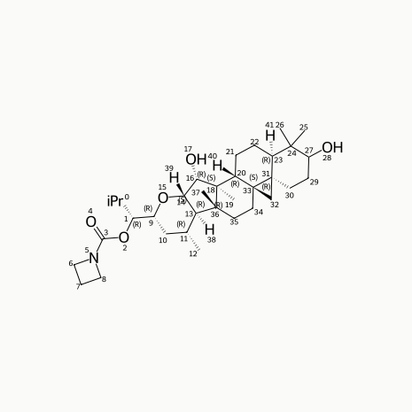 CC(C)[C@@H](OC(=O)N1CCC1)[C@H]1C[C@@H](C)[C@H]2[C@H](O1)[C@H](O)[C@@]1(C)[C@@H]3CC[C@H]4C(C)(C)C(O)CC[C@@]45C[C@@]35CC[C@]21C